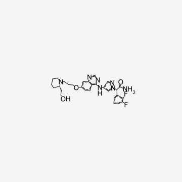 NC(=O)C(c1cccc(F)c1F)n1cc(Nc2ncnc3cc(OCCCN4CCCC[C@@H]4CCO)ccc23)cn1